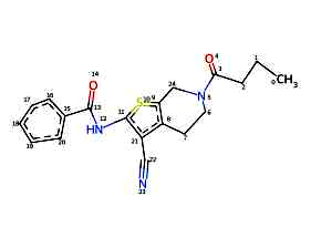 CCCC(=O)N1CCc2c(sc(NC(=O)c3ccccc3)c2C#N)C1